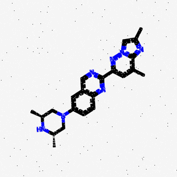 Cc1cn2nc(-c3ncc4cc(N5C[C@H](C)N[C@@H](C)C5)ccc4n3)cc(C)c2n1